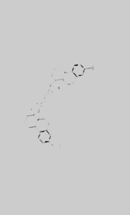 CC(C)c1ccc2c(c1)CC[C@H]1[C@@](C)(CNCCNC[C@@]3(C)CCC[C@]4(C)c5ccc(C(C)C)cc5CC[C@@H]34)CCC[C@]21C